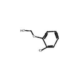 OCOc1ccccc1Cl